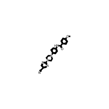 COc1ccc(C(=O)Nc2ccc(N3CCN(c4ncc(C#N)cn4)CC3)cc2)cc1